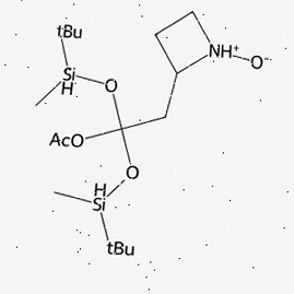 CC(=O)OC(CC1CC[NH+]1[O-])(O[SiH](C)C(C)(C)C)O[SiH](C)C(C)(C)C